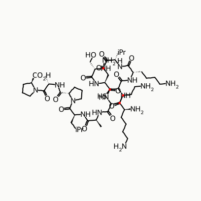 CC(C)C[C@H](NC(=O)[C@H](C)NC(=O)[C@H](CCCCN)NC(=O)[C@H](CC(N)=O)NC(=O)[C@H](CO)NC(=O)[C@@H](NC(=O)[C@H](CCCCN)NC(=O)[C@H](CS)NC(=O)[C@@H](N)CCCCN)C(C)C)C(=O)N1CCC[C@H]1C(=O)N[C@@H](C)C(=O)N1CCC[C@H]1C(=O)O